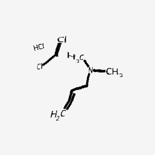 C=CCN(C)C.Cl.ClCCl